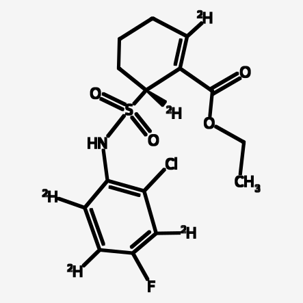 [2H]C1=C(C(=O)OCC)[C@]([2H])(S(=O)(=O)Nc2c([2H])c([2H])c(F)c([2H])c2Cl)CCC1